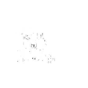 CN[C@H]1C(=O)NC2Cc3ccc(cc3)Oc3cc4cc(c3O[C@@H]3OC(C(=O)OC)C(O)[C@H](O)C3NC(=O)CCCCCCCCC(C)C)Oc3ccc(cc3Cl)[C@@H](O)C3NC(=O)C(NC(=O)C4NC(=O)C(NC2=O)c2cc(cc(O)c2Cl)Oc2cc1ccc2O)c1ccc(O)c(c1)-c1c(O[C@H]2OC(CO)[C@@H](O)C(O)C2O)cc(O)cc1C(C(=O)O)NC3=O